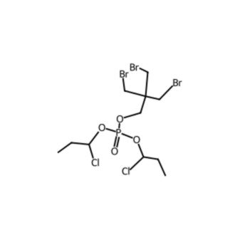 CCC(Cl)OP(=O)(OCC(CBr)(CBr)CBr)OC(Cl)CC